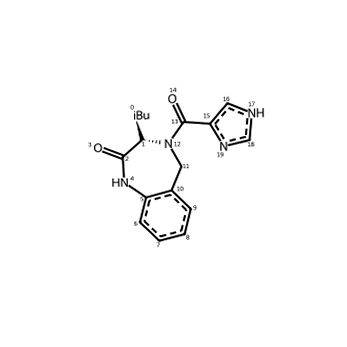 CC[C@H](C)[C@H]1C(=O)Nc2ccccc2CN1C(=O)c1c[nH]cn1